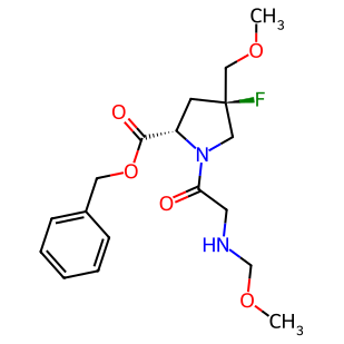 COCNCC(=O)N1C[C@@](F)(COC)C[C@H]1C(=O)OCc1ccccc1